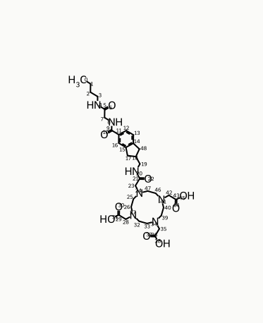 CCCCNC(=O)CNC(=O)c1ccc2c(c1)CC(CNC(=O)CN1CCN(CC(=O)O)CCN(CC(=O)O)CCN(CC(=O)O)CC1)C2